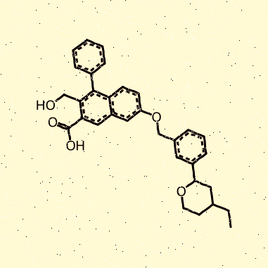 CCC1CCOC(c2cccc(COc3ccc4c(-c5ccccc5)c(CO)c(C(=O)O)cc4c3)c2)C1